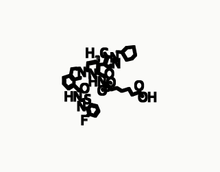 Cc1c(-c2ccc(N3CCc4cccc(C(=O)Nc5nc6c(F)cccc6s5)c4C3)nc2C(=O)NS(=O)(=O)CCCCCC(=O)O)cnn1CC1CCCCC1